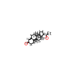 CCC(=O)[C@H]1CC[C@H]2[C@@H]3CCC4=CC(=O)CC[C@]4(C)[C@H]3CC[C@]12C